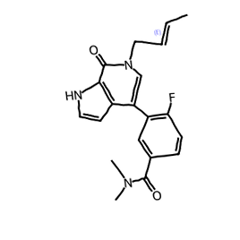 C/C=C/Cn1cc(-c2cc(C(=O)N(C)C)ccc2F)c2cc[nH]c2c1=O